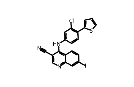 N#Cc1cnc2cc(I)ccc2c1Nc1ccc(-c2cccs2)c(Cl)c1